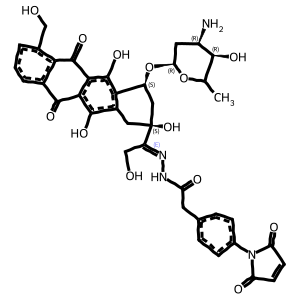 CC1O[C@@H](O[C@H]2C[C@](O)(/C(CO)=N/NC(=O)Cc3ccc(N4C(=O)C=CC4=O)cc3)Cc3c(O)c4c(c(O)c32)C(=O)c2c(CO)cccc2C4=O)C[C@@H](N)[C@H]1O